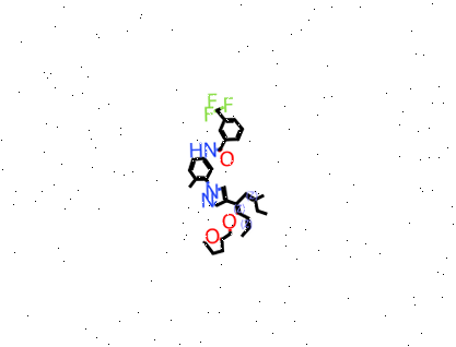 C\C=C/C(OCC1CCCO1)=C(\C=C(\C)CC)c1cnn(-c2cc(NC(=O)c3cccc(C(F)(F)F)c3)ccc2C)c1